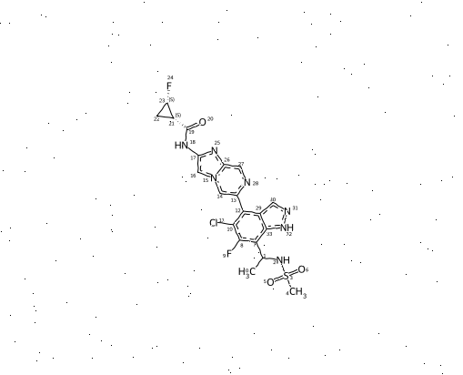 CC(NS(C)(=O)=O)c1c(F)c(Cl)c(-c2cn3cc(NC(=O)[C@@H]4C[C@@H]4F)nc3cn2)c2cn[nH]c12